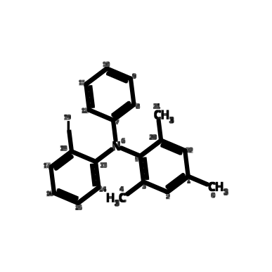 Cc1cc(C)c(N(c2ccccc2)c2ccccc2I)c(C)c1